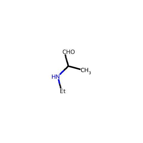 CCNC(C)C=O